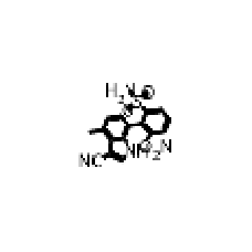 Cc1ccc(-c2c([N+](=O)[O-])cccc2S(N)(=O)=O)c2[nH]cc(C#N)c12